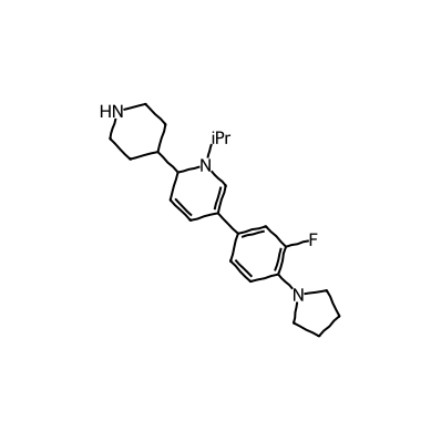 CC(C)N1C=C(c2ccc(N3CCCC3)c(F)c2)C=CC1C1CCNCC1